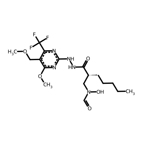 CCCCC[C@H](CN(O)C=O)C(=O)NNc1nc(OC)c(COC)c(C(F)(F)F)n1